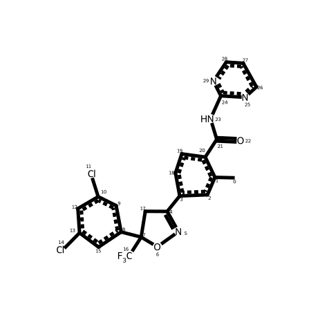 Cc1cc(C2=NOC(c3cc(Cl)cc(Cl)c3)(C(F)(F)F)C2)ccc1C(=O)Nc1ncccn1